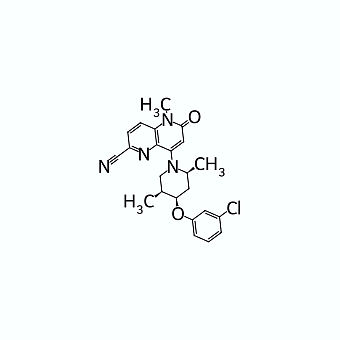 C[C@H]1CN(c2cc(=O)n(C)c3ccc(C#N)nc23)[C@@H](C)C[C@H]1Oc1cccc(Cl)c1